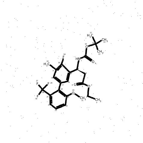 CCOC(=O)C[C@H](NC(=O)OC(C)(C)C)c1cc(-c2c(OC)cccc2C(F)(F)F)cc(C)c1F